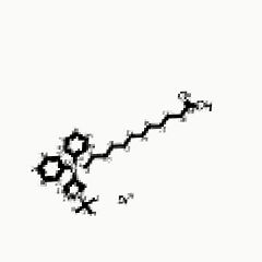 CC(C)(C)n1cc([P+](CCCCCCCCCCCC(=O)O)(c2ccccc2)c2ccccc2)cn1.[Br-]